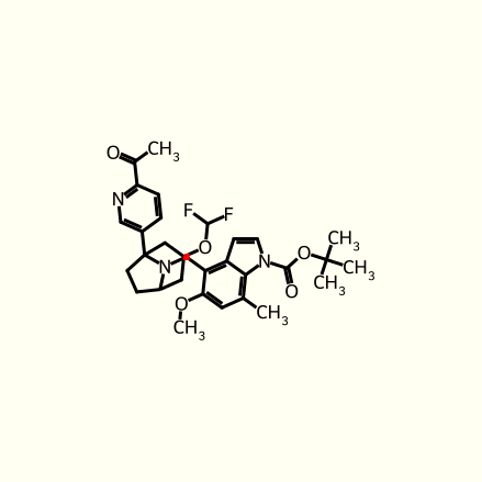 COc1cc(C)c2c(ccn2C(=O)OC(C)(C)C)c1CN1C2CCC1(c1ccc(C(C)=O)nc1)CC(OC(F)F)C2